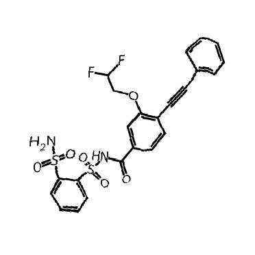 NS(=O)(=O)c1ccccc1S(=O)(=O)NC(=O)c1ccc(C#Cc2ccccc2)c(OCC(F)F)c1